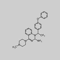 CC(c1ccc(Oc2ccccc2)cc1)N1c2ccccc2C(N2CCN(C)CC2)=NC1N